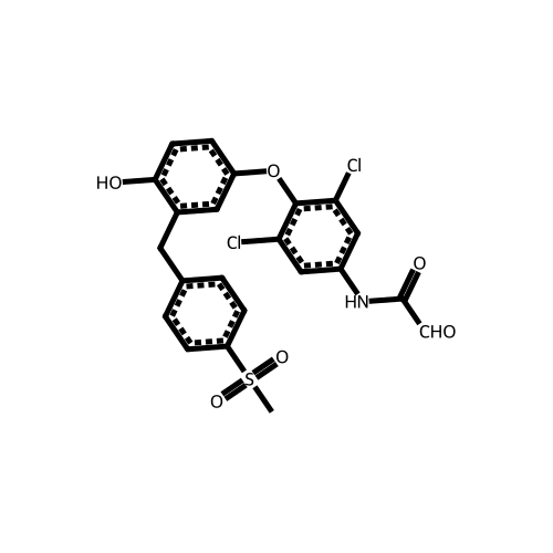 CS(=O)(=O)c1ccc(Cc2cc(Oc3c(Cl)cc(NC(=O)C=O)cc3Cl)ccc2O)cc1